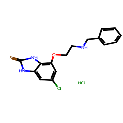 Cl.S=c1[nH]c2cc(Cl)cc(OCCNCc3ccccc3)c2[nH]1